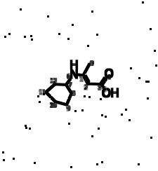 CC(=CC(=O)O)NC1CCCCC1